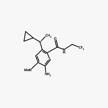 CNc1cc(N(C)C2CC2)c(C(=O)NCC(F)(F)F)cc1N